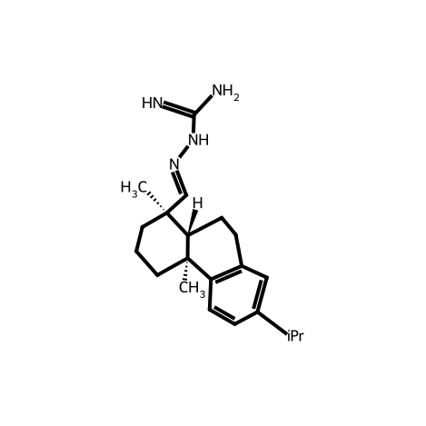 CC(C)c1ccc2c(c1)CC[C@H]1[C@](C)(/C=N/NC(=N)N)CCC[C@]21C